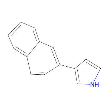 c1ccc2cc(-c3cc[nH]c3)ccc2c1